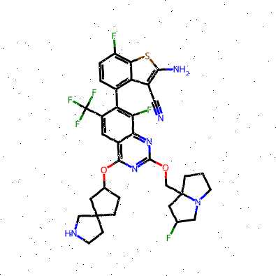 N#Cc1c(N)sc2c(F)ccc(-c3c(C(F)(F)F)cc4c(OC5CCC6(CCNC6)C5)nc(OCC56CCCN5CC(F)C6)nc4c3F)c12